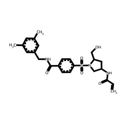 C=CC(=O)NC1CC(CO)N(S(=O)(=O)c2ccc(C(=O)NCc3cc(C)cc(C)c3)cc2)C1